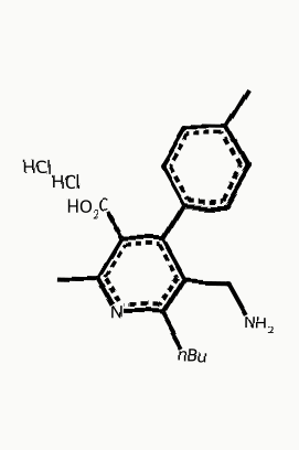 CCCCc1nc(C)c(C(=O)O)c(-c2ccc(C)cc2)c1CN.Cl.Cl